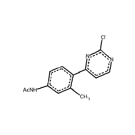 CC(=O)Nc1ccc(-c2ccnc(Cl)n2)c(C)c1